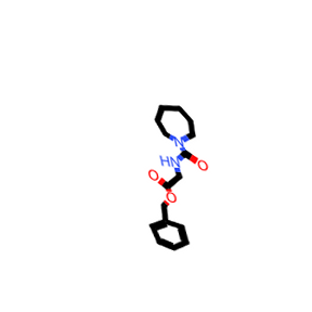 O=C(CNC(=O)N1CCCCCC1)OCc1ccccc1